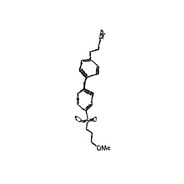 COCCCS(=O)(=O)c1ccc(-c2ccc(CCBr)cc2)cc1